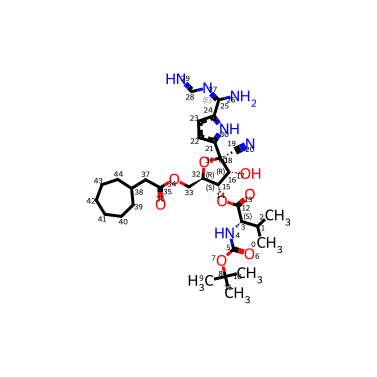 CC(C)[C@H](NC(=O)OC(C)(C)C)C(=O)O[C@H]1[C@@H](O)[C@](C#N)(c2ccc(/C(N)=N\C=N)[nH]2)O[C@@H]1COC(=O)CC1CCCCCC1